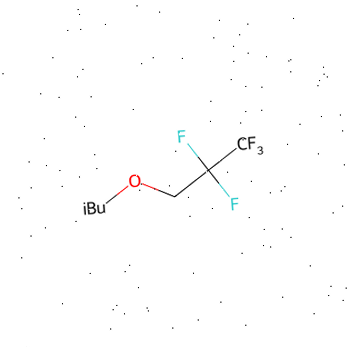 CCC(C)OCC(F)(F)C(F)(F)F